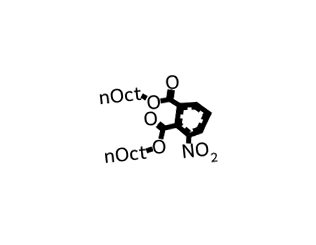 CCCCCCCCOC(=O)c1cccc([N+](=O)[O-])c1C(=O)OCCCCCCCC